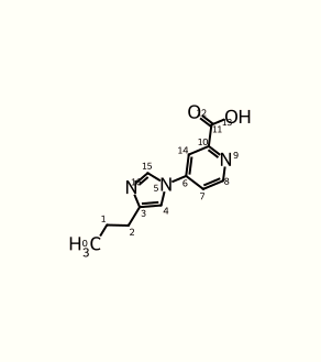 CCCc1cn(-c2ccnc(C(=O)O)c2)cn1